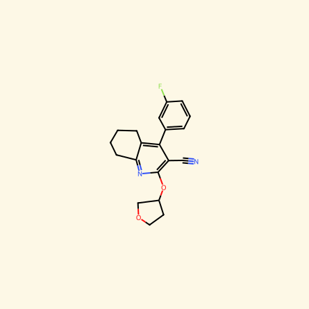 N#Cc1c(OC2CCOC2)nc2c(c1-c1cccc(F)c1)CCCC2